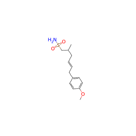 COc1ccc(CC=CCC(C)CS(N)(=O)=O)cc1